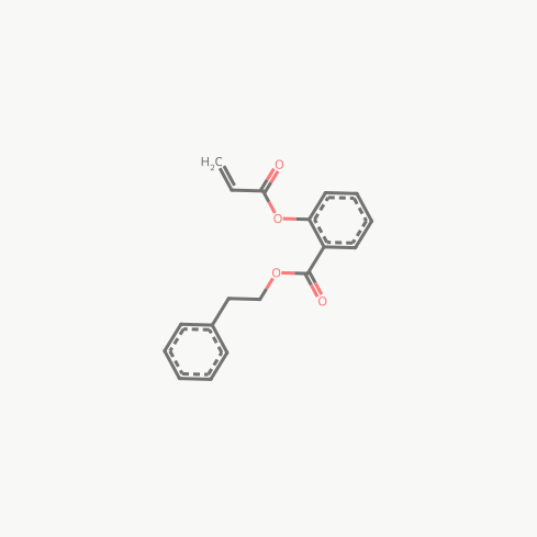 C=CC(=O)Oc1ccccc1C(=O)OCCc1ccccc1